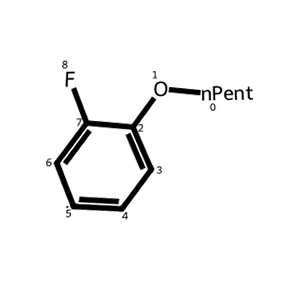 CCCCCOc1cc[c]cc1F